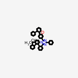 CC1(C)c2ccccc2-c2c(-c3ccccc3-c3nc(-c4ccccc4)nc(-c4ccc5c(c4)oc4cccc(-c6ccccc6)c45)n3)cccc21